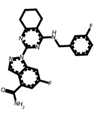 NC(=O)c1cc(F)cc2c1cnn2-c1nc2c(c(NCc3cccc(F)c3)n1)CCCC2